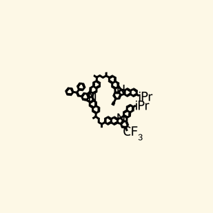 C#Cc1cc2c3cc4cc(C(C)C)ccc4cc3n3c4cc5ccc(C(C)CCC(C)c6ccc7cc8c(cc7c6)c6cc(C=C(c7ccccc7)c7ccccc7)cc7c9cc%10cc(C(C)CCC(C)c%11ccc%12cc%13c(cc%12c%11)c%11cc(C(F)(F)F)cc%12c%14cc%15cc(C(C)C)ccc%15cc%14n%13c%12%11)ccc%10cc9n8c67)cc5cc4c(c1)c23